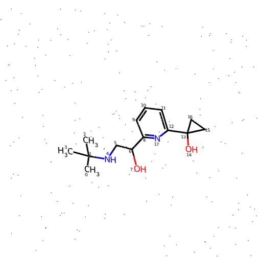 CC(C)(C)NCC(O)c1cccc(C2(O)CC2)n1